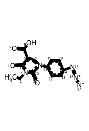 CCn1c(=O)c(C(=O)O)cn(-c2ccc(N=[N+]=[N-])cc2)c1=O